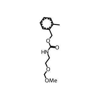 COCOCCNC(=O)OCc1ccccc1C